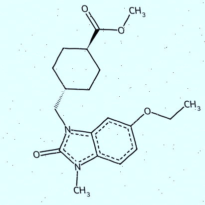 CCOc1ccc2c(c1)n(C[C@H]1CC[C@H](C(=O)OC)CC1)c(=O)n2C